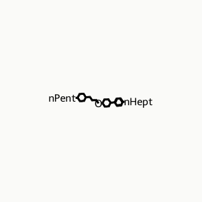 CCCCCCCc1ccc(C2CCC(OCCCC3CCC(CCCCC)CC3)CC2)cc1